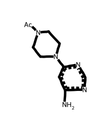 CC(=O)N1CCN(c2cc(N)ncn2)CC1